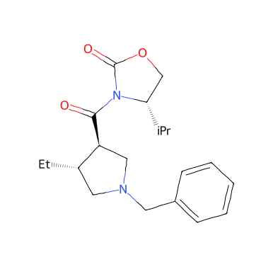 CC[C@H]1CN(Cc2ccccc2)C[C@@H]1C(=O)N1C(=O)OC[C@@H]1C(C)C